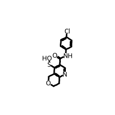 O=C(Nc1ccc(Cl)cc1)c1cnc2c(c1SO)COCC2